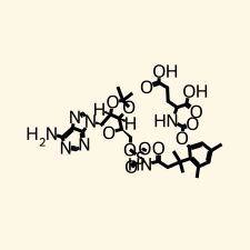 Cc1cc(C)c(C(C)(C)CC(=O)NS(=O)(=O)OC[C@H]2O[C@@H](n3cnc4c(N)ncnc43)[C@@H]3OC(C)(C)O[C@@H]32)c(OC(=O)NC(CCC(=O)O)C(=O)O)c1